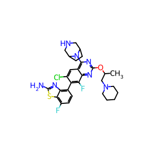 CC(CN1CCCCC1)Oc1nc(N2C3CCC2CNC3)c2cc(Cl)c(-c3ccc(F)c4sc(N)nc34)c(F)c2n1